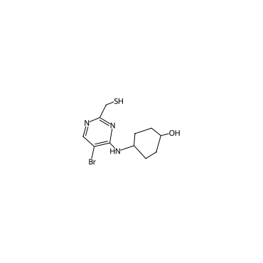 OC1CCC(Nc2nc(CS)ncc2Br)CC1